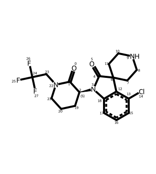 O=C1[C@@H](N2C(=O)C3(CCNCC3)c3c(Cl)cccc32)CCCN1CC(F)(F)F